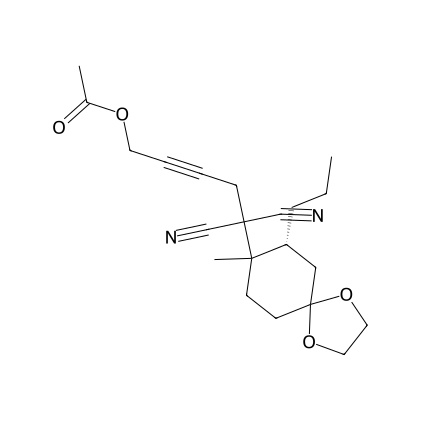 CCC[C@@H]1CC2(CCC1(C)C(C#N)(C#N)CC#CCOC(C)=O)OCCO2